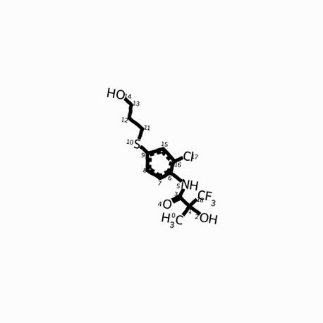 CC(O)(C(=O)Nc1ccc(SCCCO)cc1Cl)C(F)(F)F